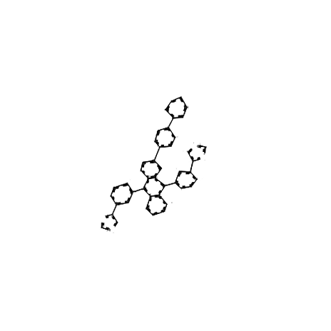 c1ccc(-c2ccc(-c3ccc4c(-c5cccc(-c6cncs6)c5)c5ccccc5c(-c5cccc(-c6cncs6)c5)c4c3)cc2)cc1